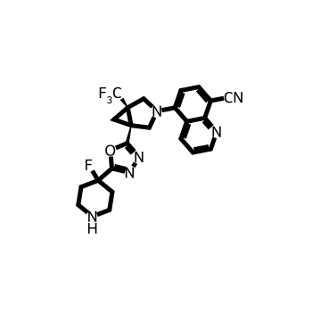 N#Cc1ccc(N2C[C@]3(c4nnc(C5(F)CCNCC5)o4)C[C@]3(C(F)(F)F)C2)c2cccnc12